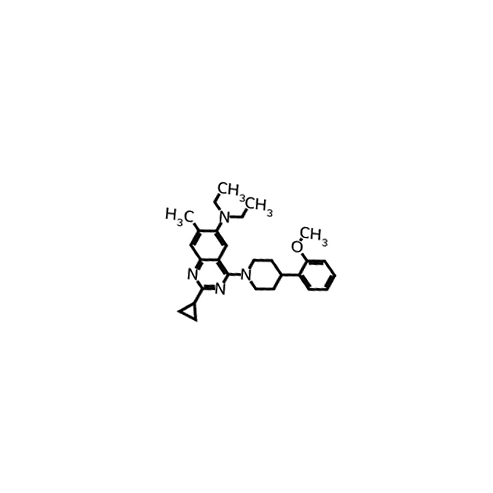 CCN(CC)c1cc2c(N3CCC(c4ccccc4OC)CC3)nc(C3CC3)nc2cc1C